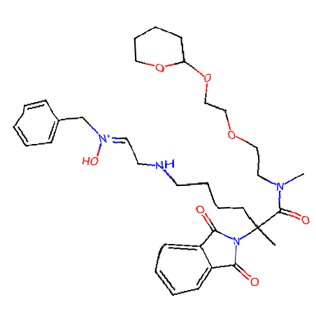 CN(CCOCCOC1CCCCO1)C(=O)C(C)(CCCCNCC=[N+](O)Cc1ccccc1)N1C(=O)c2ccccc2C1=O